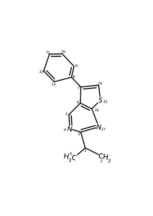 CC(C)c1n[c]c2c(-c3ccccc3)csc2n1